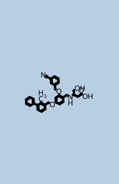 Cc1c(COc2ccc(CNC(CO)CC(=O)O)c(OCc3cccc(C#N)c3)c2)cccc1-c1ccccc1